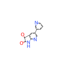 O=C1Nc2ncc(-c3cccnc3)cc2C1=O